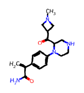 C=C(C(N)=O)c1ccc(N2CCNCC2C(=O)C2CN(C)C2)cc1